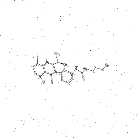 C[C@H](N)c1nc2c(F)ccc(Cl)c2c(=O)n1-c1cccc(NC(=O)NCCCO)c1